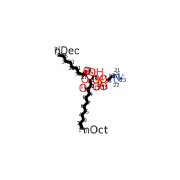 CCCCCCCC/C=C\CCCCCCCC(=O)C(OP(=O)([O-])OCC[N+](C)(C)C)[C@H](CO)OC(=O)CCCCCCCCCCCCCCCCC